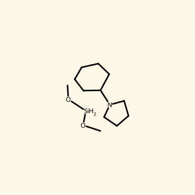 C1CCC(N2CCCC2)CC1.CO[SiH2]OC